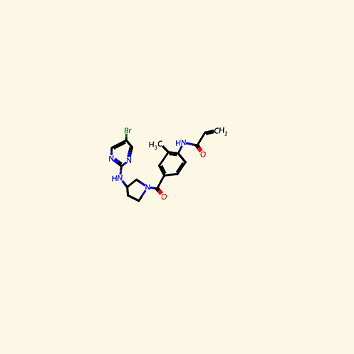 C=CC(=O)Nc1ccc(C(=O)N2CCC(Nc3ncc(Br)cn3)C2)cc1C